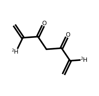 [2H]C(=C)C(=O)CC(=O)C([2H])=C